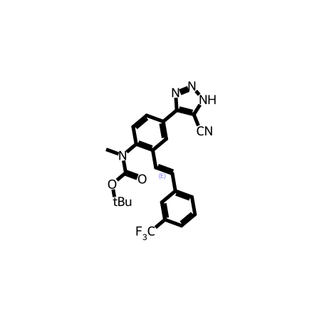 CN(C(=O)OC(C)(C)C)c1ccc(-c2nn[nH]c2C#N)cc1/C=C/c1cccc(C(F)(F)F)c1